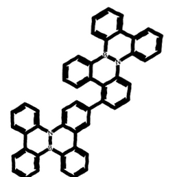 c1ccc2c(c1)B1c3ccccc3-c3cc(-c4cccc5c4-c4ccccc4B4c6ccccc6-c6ccccc6N45)ccc3N1c1ccccc1-2